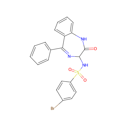 O=C1Nc2ccccc2C(c2ccccc2)=NC1NS(=O)(=O)c1ccc(Br)cc1